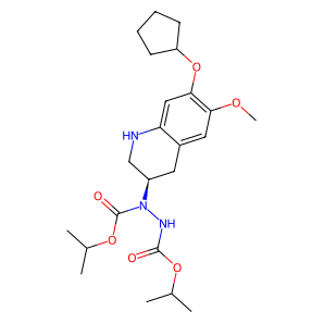 COc1cc2c(cc1OC1CCCC1)NC[C@H](N(NC(=O)OC(C)C)C(=O)OC(C)C)C2